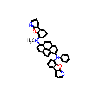 CN(c1ccc2ccc3c(N(c4ccccc4)c4cccc5c4oc4ncccc45)ccc4ccc1c2c43)c1cccc2c1oc1ncccc12